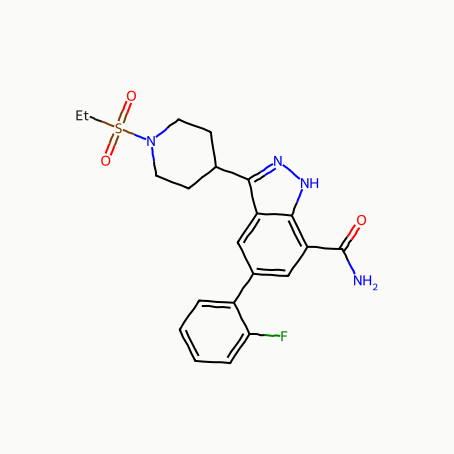 CCS(=O)(=O)N1CCC(c2n[nH]c3c(C(N)=O)cc(-c4ccccc4F)cc23)CC1